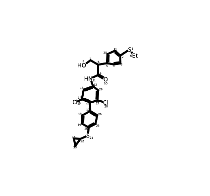 CCSc1ccc(C(CO)C(=O)Nc2cc(Cl)c(-c3ccc(SC4CC4)cc3)c(Cl)c2)cc1